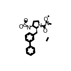 CC.CON(C)C(=O)N1CC[C@H](N=S(=O)=O)[C@@H]1Cc1cccc(-c2ccccc2)c1